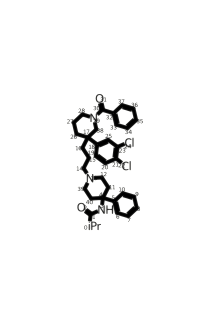 CC(C)C(=O)NC1(c2ccccc2)CCN(CCCC2(c3ccc(Cl)c(Cl)c3)CCCN(C(=O)c3ccccc3)C2)CC1